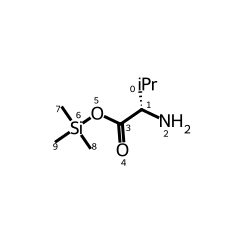 CC(C)[C@H](N)C(=O)O[Si](C)(C)C